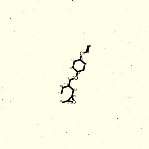 C=COC1CCC(OCC(CC)CC2OC2C)CC1